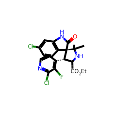 CCOC(=O)C1NC(C)(C)[C@@]2(C(=O)Nc3cc(Cl)ccc32)[C@H]1c1ccnc(Cl)c1F